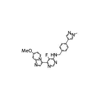 COc1ccn2c(-c3ncnc(NCc4ccc(-c5cnn(C)c5)cc4)c3F)cnc2c1